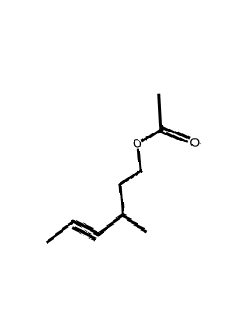 CC=CC(C)CCOC(C)=O